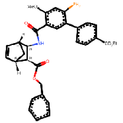 CCOC(=O)c1ccc(-c2cc(C(=O)N[C@H]3[C@@H](C(=O)OCc4ccccc4)[C@@H]4C=C[C@H]3C4)c(OC)cc2P)cc1